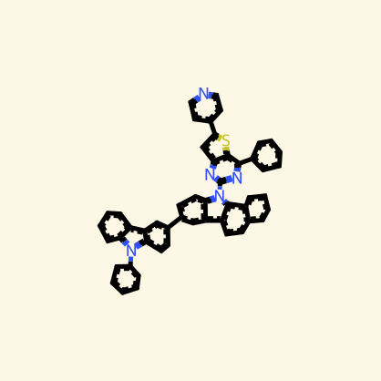 c1ccc(-c2nc(-n3c4ccc(-c5ccc6c(c5)c5ccccc5n6-c5ccccc5)cc4c4ccc5ccccc5c43)nc3cc(-c4ccncc4)sc23)cc1